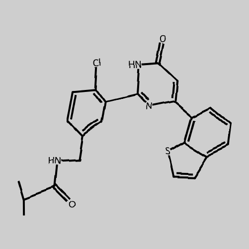 CC(C)C(=O)NCc1ccc(Cl)c(-c2nc(-c3cccc4ccsc34)cc(=O)[nH]2)c1